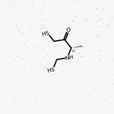 C[C@H](NCS)C(=O)CS